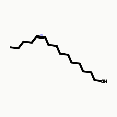 CCCC/C=C\CCCCCCCCCO